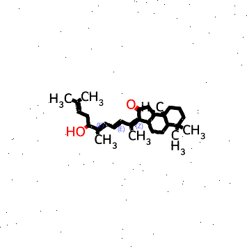 CC(C)=CCC(O)/C(C)=C/C=C/C(C)=C1\C(=O)CC2C1CCC1C(C)(C)CCCC21C